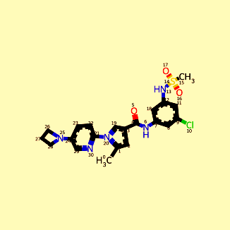 Cc1cc(C(=O)Nc2cc(Cl)cc(NS(C)(=O)=O)c2)cn1-c1ccc(N2CCC2)cn1